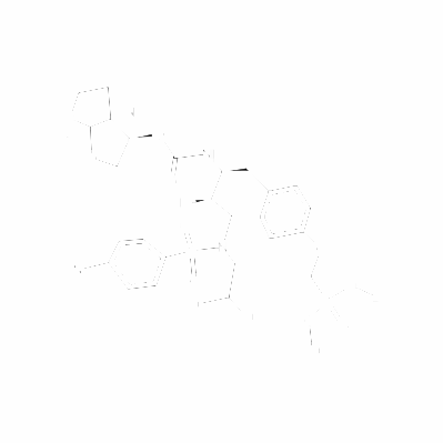 CCOP(=O)(COc1ccc(C[C@H](NC(=O)O[C@H]2CO[C@H]3OCC[C@H]32)[C@H](O)CN(CC(CC)CC)S(=O)(=O)c2ccc(N)cc2)cc1)OCC